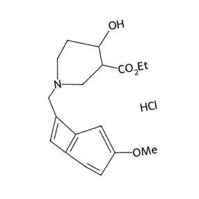 CCOC(=O)C1CN(CC2=Cc3ccc(OC)cc32)CCC1O.Cl